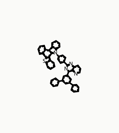 c1ccc(-c2cc(-c3ccccc3)cc(-c3nc(-c4ccc(-n5c6ccccc6c6c7ccccc7c7sc8ccccc8c7c65)cc4)nc4cccnc34)c2)cc1